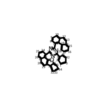 c1ccc(-c2nc(-c3cccc4ccc5ccccc5c34)nc(-c3cccc4ccc5c6ccccc6oc5c34)n2)cc1